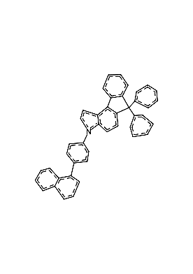 c1ccc(C2(c3ccccc3)c3ccccc3-c3c2ccc2c3ccn2-c2ccc(-c3cccc4ccccc34)cc2)cc1